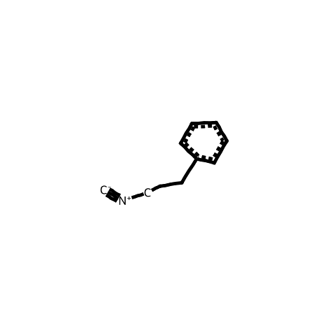 [C-]#[N+]CCCc1ccccc1